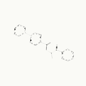 CCOC(=O)C(CC(=O)c1ccc(-c2ccccc2)cc1)C(=O)c1ccccc1